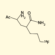 CC(=O)C(N)CC(CCC[18F])C(N)=O